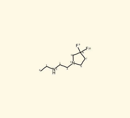 CCNCCN1CCC(F)(F)C1